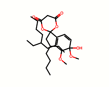 CCCCC(CC)CC1=C(C2(CC(CC)CCCC)OC(=O)CC(=O)O2)C=CC(O)(OC)C1OC